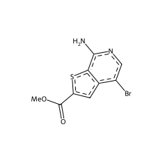 COC(=O)c1cc2c(Br)cnc(N)c2s1